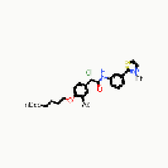 CCCCCCCCCCCCCCOc1ccc(CC(=O)Nc2cccc(-c3scc[n+]3CC)c2)cc1C(C)=O.[Cl-]